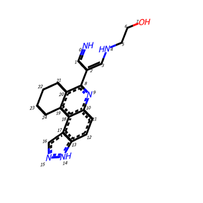 N=C/C(=C\NCCO)c1nc2ccc3[nH]ncc3c2c2c1CCCC2